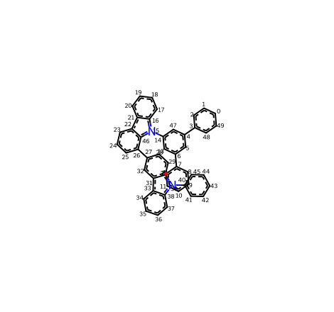 c1ccc(-c2cc(-c3ccccc3)cc(-n3c4ccccc4c4cccc(-c5ccc6c(c5)c5ccccc5n6-c5ccccc5)c43)c2)cc1